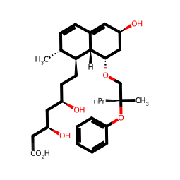 CCC[C@](C)(CO[C@H]1C[C@H](O)C=C2C=C[C@@H](C)[C@H](CC[C@@H](O)C[C@@H](O)CC(=O)O)[C@H]21)Oc1ccccc1